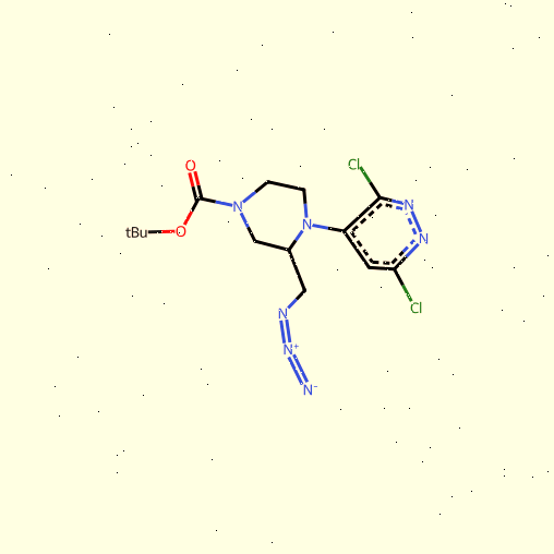 CC(C)(C)OC(=O)N1CCN(c2cc(Cl)nnc2Cl)C(CN=[N+]=[N-])C1